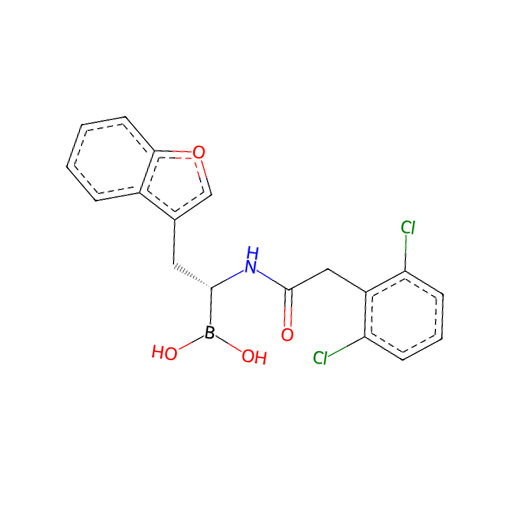 O=C(Cc1c(Cl)cccc1Cl)N[C@@H](Cc1coc2ccccc12)B(O)O